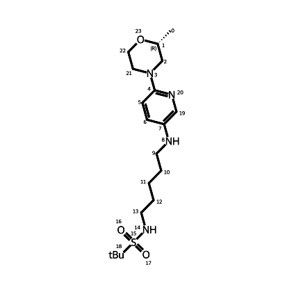 C[C@@H]1CN(c2ccc(NCCCCCNS(=O)(=O)C(C)(C)C)cn2)CCO1